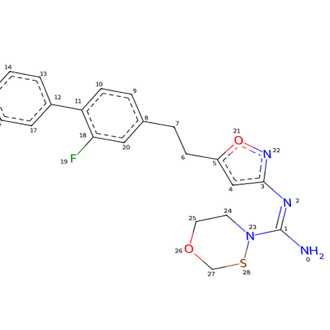 NC(=Nc1cc(CCc2ccc(-c3ccccc3)c(F)c2)on1)N1CCOCS1